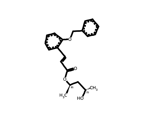 C[C@H](O)C[C@@H](C)OC(=O)C=Cc1ccccc1OCc1ccccc1